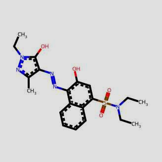 CCN(CC)S(=O)(=O)c1cc(O)c(N=Nc2c(C)nn(CC)c2O)c2ccccc12